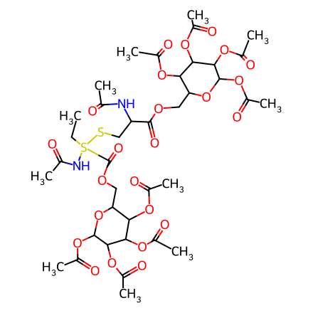 CCS(NC(C)=O)(SCC(NC(C)=O)C(=O)OCC1OC(OC(C)=O)C(OC(C)=O)C(OC(C)=O)C1OC(C)=O)C(=O)OCC1OC(OC(C)=O)C(OC(C)=O)C(OC(C)=O)C1OC(C)=O